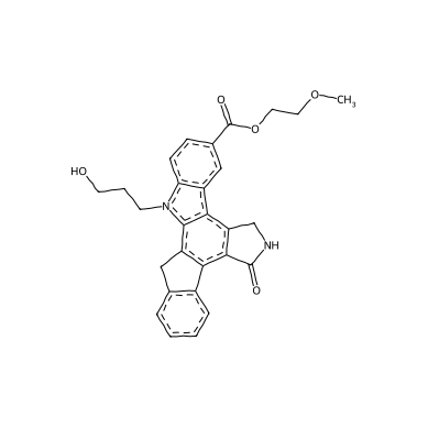 COCCOC(=O)c1ccc2c(c1)c1c3c(c4c(c1n2CCCO)Cc1ccccc1-4)C(=O)NC3